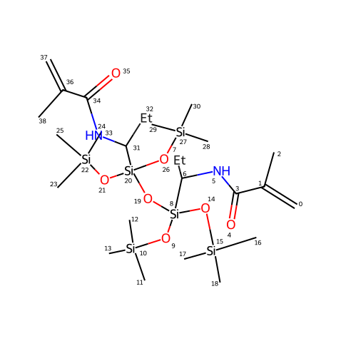 C=C(C)C(=O)NC(CC)[Si](O[Si](C)(C)C)(O[Si](C)(C)C)O[Si](O[Si](C)(C)C)(O[Si](C)(C)C)C(CC)NC(=O)C(=C)C